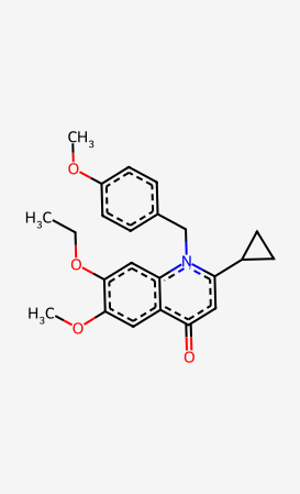 CCOc1cc2c(cc1OC)c(=O)cc(C1CC1)n2Cc1ccc(OC)cc1